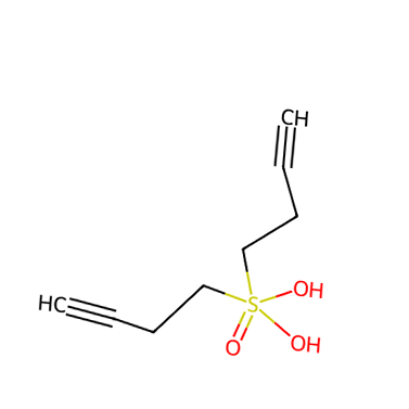 C#CCCS(=O)(O)(O)CCC#C